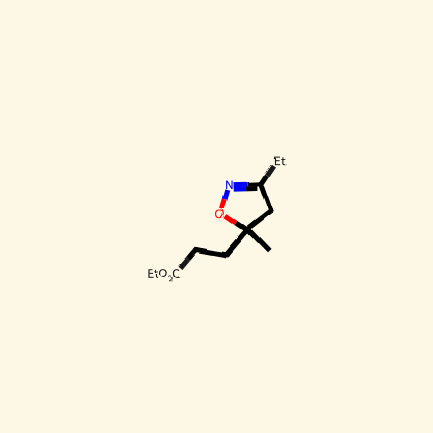 CCOC(=O)CCC1(C)CC(CC)=NO1